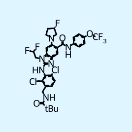 CC(C)(C)C(=O)NCc1ccc(Cl)c(Nc2nc3cc(C(=O)Nc4ccc(OC(F)(F)F)cc4)c(N4CC[C@@H](F)C4)cc3n2CC(F)F)c1Cl